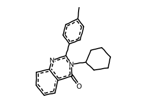 Cc1ccc(-c2nc3ccccc3c(=O)n2C2CCCCC2)cc1